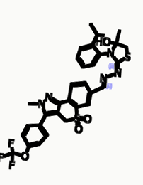 CC(C)c1ccccc1N1/C(=N\N=C\c2ccc3c(c2)S(=O)(=O)Cc2c-3nn(C)c2-c2ccc(OC(F)(F)F)cc2)SCC1(C)O